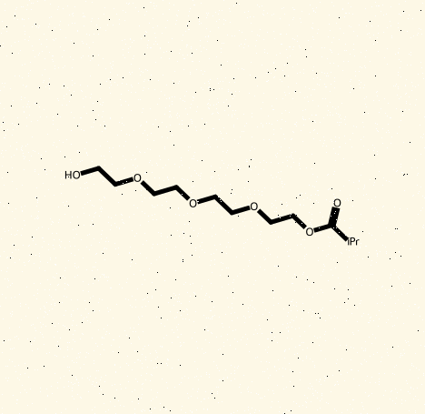 CC(C)C(=O)OCCOCCOCCOCCO